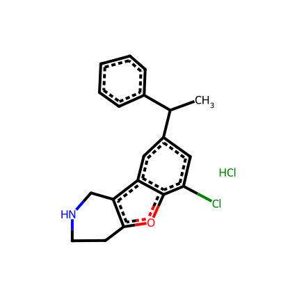 CC(c1ccccc1)c1cc(Cl)c2oc3c(c2c1)CNCC3.Cl